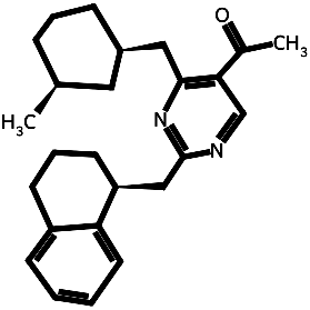 CC(=O)c1cnc(C[C@@H]2CCCc3ccccc32)nc1C[C@@H]1CCC[C@H](C)C1